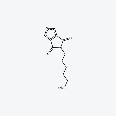 CCCCCCCCCCCCCCN1C(=O)c2cscc2C1=O